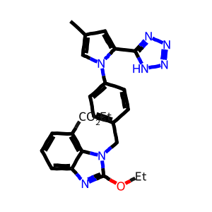 CCOC(=O)c1cccc2nc(OCC)n(Cc3ccc(-n4cc(C)cc4-c4nnn[nH]4)cc3)c12